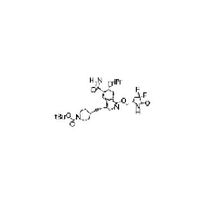 CC(C)Oc1cc2c(OC[C@@H]3CC(F)(F)C(=O)N3)ncc(C#CC3CCN(C(=O)OC(C)(C)C)CC3)c2cc1C(N)=O